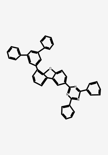 c1ccc(-c2cc(-c3ccccc3)cc(-c3cccc4c3oc3ccc(-c5nc(-c6ccccc6)nc(-c6ccccc6)n5)cc34)c2)cc1